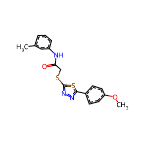 COc1ccc(-c2nnc(SCC(=O)Nc3cccc(C)c3)s2)cc1